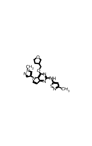 Cc1cc(Nc2nc(OCC3CCOC3)c3c(ccn3-c3cnn(C)c3)n2)sn1